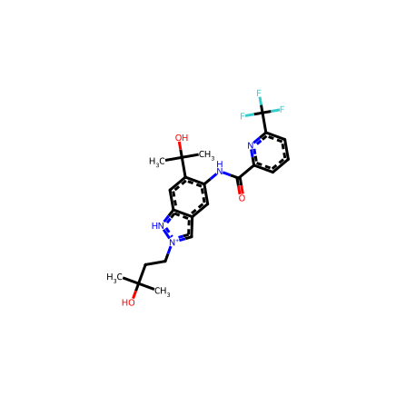 CC(C)(O)CC[n+]1cc2cc(NC(=O)c3cccc(C(F)(F)F)n3)c(C(C)(C)O)cc2[nH]1